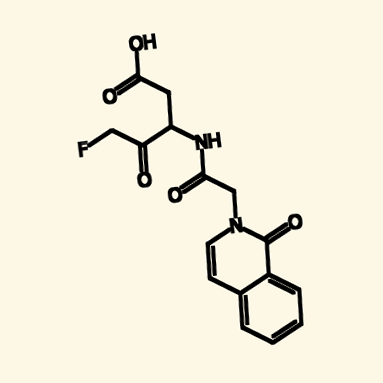 O=C(O)CC(NC(=O)Cn1ccc2ccccc2c1=O)C(=O)CF